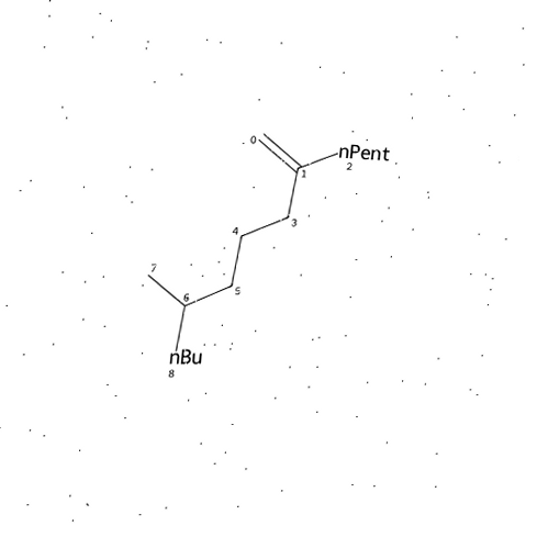 C=C(CCCCC)CCCC(C)CCCC